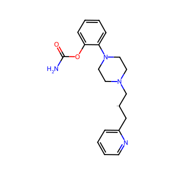 NC(=O)Oc1ccccc1N1CCN(C[CH]Cc2ccccn2)CC1